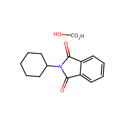 O=C(O)O.O=C1c2ccccc2C(=O)N1C1CCCCC1